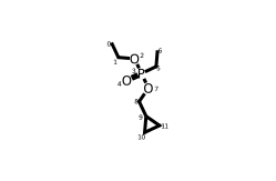 CCOP(=O)(CC)OCC1CC1